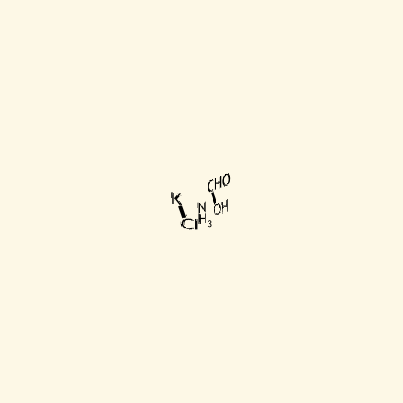 N.O=CO.[Cl][K]